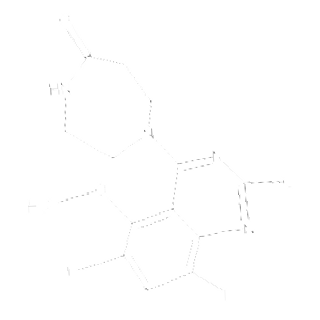 COc1c(F)cc(F)c2nc(Cl)nc(N3CCNC(=O)CC3)c12